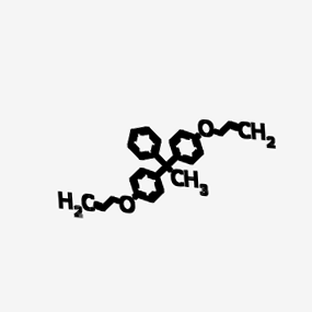 C=CCOc1ccc(C(C)(c2ccccc2)c2ccc(OCC=C)cc2)cc1